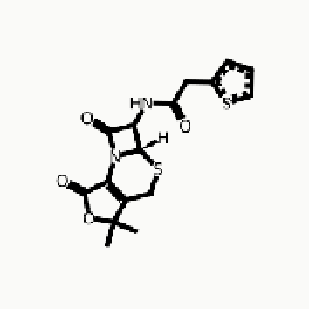 CC1(C)OC(=O)C2=C1CS[C@H]1C(NC(=O)Cc3cccs3)C(=O)N21